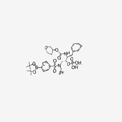 CC(C)CN(C[C@@H](OP(=O)(O)O)[C@H](Cc1ccccc1)NC(=O)O[C@H]1CCOC1)S(=O)(=O)c1ccc(B2OC(C)(C)C(C)(C)O2)cc1